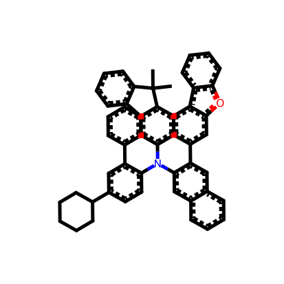 CC1(C)c2ccccc2-c2cc(N(c3ccc(C4CCCCC4)cc3-c3ccccc3)c3cc4ccccc4cc3-c3ccc4c(c3)oc3ccccc34)ccc21